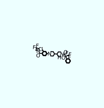 O=C(c1ccc(N2CCC(C3CCN(C(=O)C(O)(c4ccccc4)C(F)(F)F)CC3)CC2)cc1Cl)N1CC(F)(F)C1